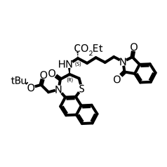 CCOC(=O)[C@H](CCCCN1C(=O)c2ccccc2C1=O)N[C@H]1CSc2c(ccc3ccccc23)N(CC(=O)OC(C)(C)C)C1=O